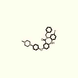 CN1CCN(c2ccc(Oc3ccc4c(c3)C(=O)N(Cc3ccccc3)c3cc(F)ccc3N4)cc2)CC1